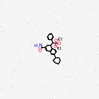 CCOP(=O)(OCC)C(c1ccccc1)C1CC(C(N)=O)=Cc2cc(C3CCCCC3)ccc21